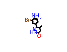 CC1CC(=O)NN=C1c1ccc(N)c(Br)c1